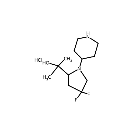 CC(C)(O)C1CC(F)(F)CN1C1CCNCC1.Cl